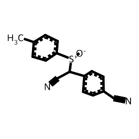 Cc1ccc([S+]([O-])C(C#N)c2ccc(C#N)cc2)cc1